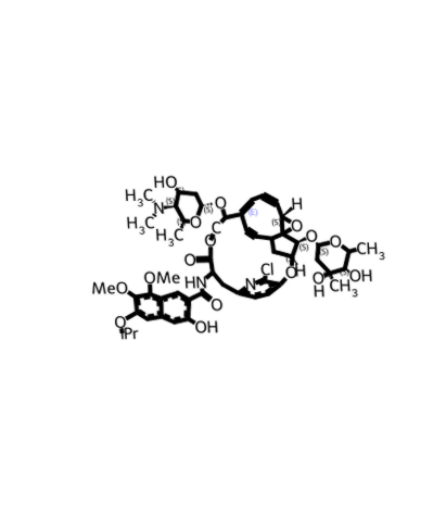 COc1c(OC(C)C)cc2cc(O)c(C(=O)NC3Cc4ccc(c(Cl)n4)O[C@H]4CC5C#C/C(=C\C#C[C@@H]6OC56[C@H]4O[C@H]4C[C@@](C)(O)[C@@H](O)C(C)O4)C(O[C@H]4C[C@H](O)[C@H](N(C)C)[C@H](C)O4)COC3=O)cc2c1OC